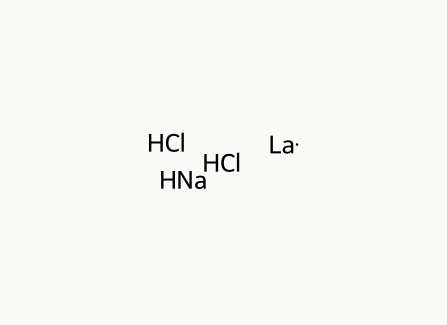 Cl.Cl.[La].[NaH]